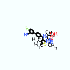 Cc1sc2c(c1C)C(c1ccc(-c3ccc(F)c(C#N)c3)cc1)=N[C@@H](C(C)C(=O)O)c1nnc(C)n1-2